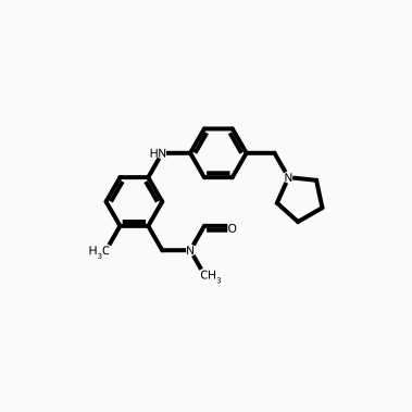 Cc1ccc(Nc2ccc(CN3CCCC3)cc2)cc1CN(C)C=O